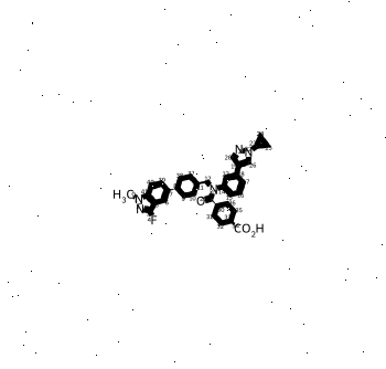 Cn1nc(F)c2cc([C@H]3CC[C@H](CN(c4cccc(-c5cnn(C6CC6)c5)c4)C(=O)[C@H]4CC[C@H](C(=O)O)CC4)CC3)ccc21